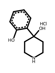 Cl.Oc1ccccc1C1(O)CCNCC1